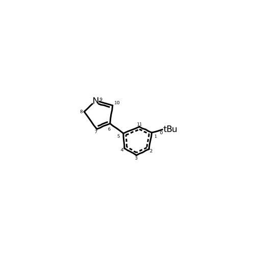 CC(C)(C)c1cccc(C2=CCN=C2)c1